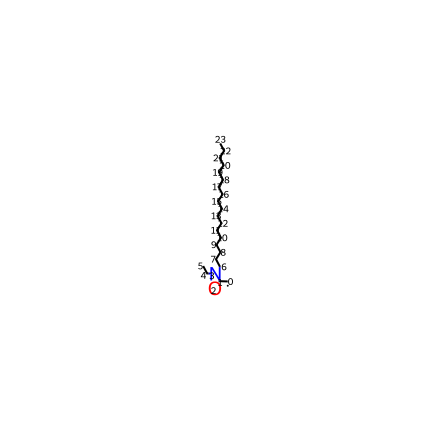 [CH2]C(=O)N(CC)CCCCCCCCCCCCCCCCCC